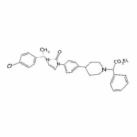 CCOC(=O)C(c1ccccc1)N1CCC(c2ccc(-n3ccn([C@@H](C)c4ccc(Cl)cc4)c3=O)cc2)CC1